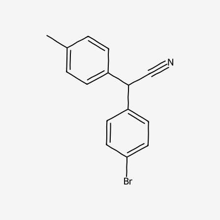 Cc1ccc(C(C#N)c2ccc(Br)cc2)cc1